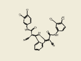 N#C/C(C(=O)Nc1ccc(Cl)c(Cl)c1)=c1/[nH]/c(=C(/C#N)C(=O)Nc2ccc(Cl)c(Cl)c2)c2ccccc12